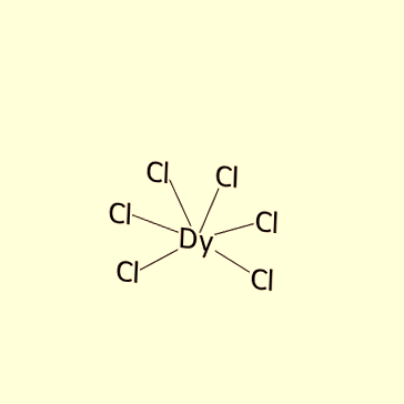 [Cl][Dy]([Cl])([Cl])([Cl])([Cl])[Cl]